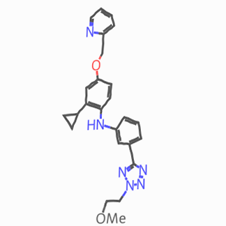 COCCn1nnc(-c2cccc(Nc3ccc(OCc4ccccn4)cc3C3CC3)c2)n1